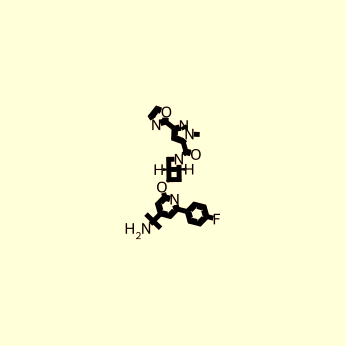 Cn1nc(-c2ncco2)cc1C(=O)N1C[C@@H]2[C@H]1C[C@H]2Oc1cc(C(C)(C)N)cc(-c2ccc(F)cc2)n1